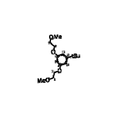 COCCOc1cc(OCCOC)cc(C(C)(C)C)c1